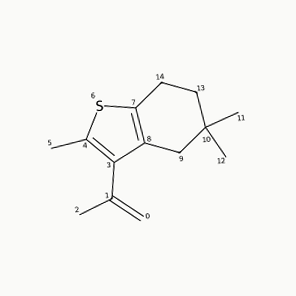 C=C(C)c1c(C)sc2c1CC(C)(C)CC2